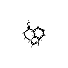 O=C1CCn2[c]nc3cccc1c32